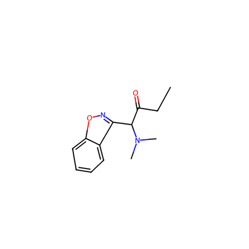 CCC(=O)C(c1noc2ccccc12)N(C)C